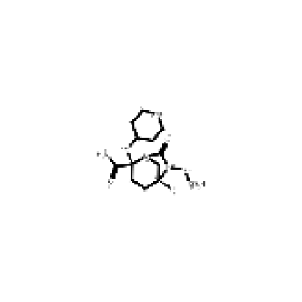 NC(=O)[C@@]1(OC2CCNCC2)CC[C@@H]2CN1C(=O)N2OS(=O)(=O)O